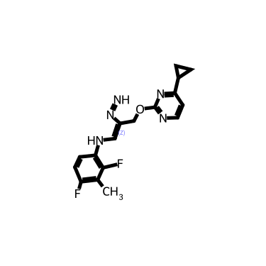 Cc1c(F)ccc(N/C=C(/COc2nccc(C3CC3)n2)N=N)c1F